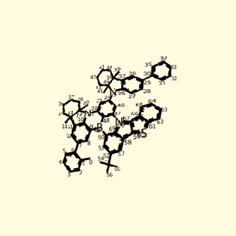 Cc1ccccc1-c1cc2c3c(c1)C1(C)CCCCC1(C)N3c1cc(N3c4ccc(-c5ccccc5)cc4C4(C)CCCCC34C)cc3c1B2c1cc(C(C)(C)C)cc2c4sc5ccccc5c4n-3c12